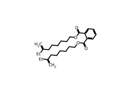 C=C(CC)CCCCCCOC(=O)c1ccccc1C(=O)OCCCCCCC(=C)CC